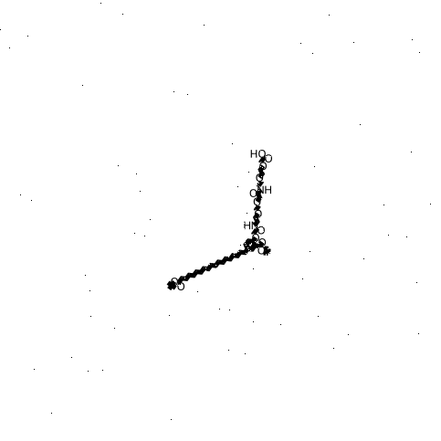 CC(C)(C)OC(=O)CCCCCCCCCCCCCCCCCCc1ccc(OCC(=O)NCCOCCOCC(=O)NCCOCCOCC(=O)O)c(C(=O)OC(C)(C)C)c1